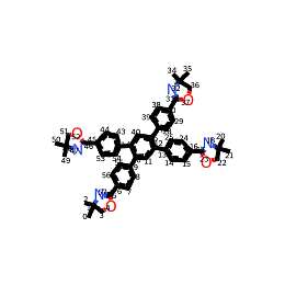 CC1(C)COC(c2ccc(-c3cc(-c4ccc(C5=NC(C)(C)CO5)cc4)c(-c4ccc(C5=NC(C)(C)CO5)cc4)cc3-c3ccc(C4=NC(C)(C)CO4)cc3)cc2)=N1